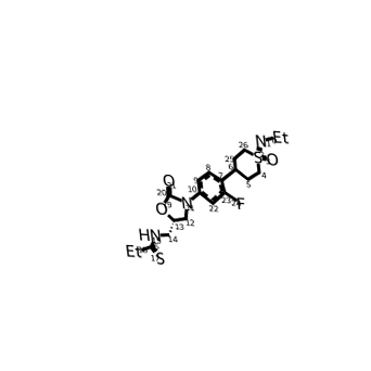 CCN=S1(=O)CCC(c2ccc(N3C[C@H](CNC(=S)CC)OC3=O)cc2F)CC1